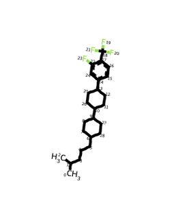 CC(C)CCCC1CCC(C2CCC(c3ccc(C(F)(F)F)c(F)c3)CC2)CC1